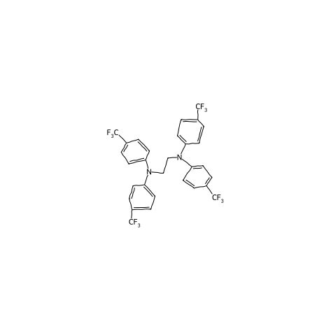 FC(F)(F)c1ccc(N(CCN(c2ccc(C(F)(F)F)cc2)c2ccc(C(F)(F)F)cc2)c2ccc(C(F)(F)F)cc2)cc1